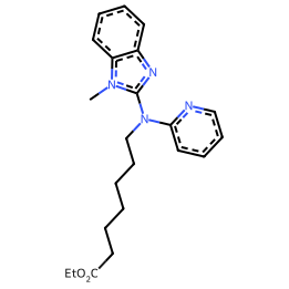 CCOC(=O)CCCCCCN(c1ccccn1)c1nc2ccccc2n1C